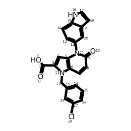 O=C(O)c1cc2c(ccc(=O)n2-c2ccc3[nH]ccc3c2)n1Cc1cccc(Cl)c1